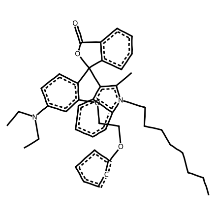 CCCCCCCCn1c(C)c(C2(c3ccc(N(CC)CC)cc3OCCOc3ccccc3)OC(=O)c3ccccc32)c2ccccc21